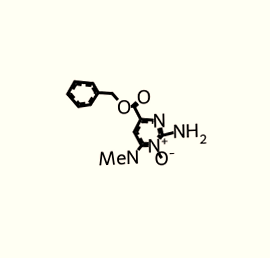 CNc1cc(C(=O)OCc2ccccc2)nc(N)[n+]1[O-]